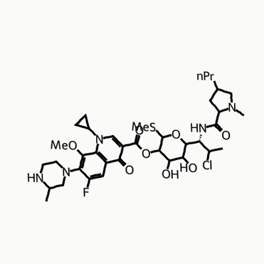 CCCC1CC(C(=O)N[C@H](C(C)Cl)C2OC(SC)C(OC(=O)c3cn(C4CC4)c4c(OC)c(N5CCNC(C)C5)c(F)cc4c3=O)C(O)C2O)N(C)C1